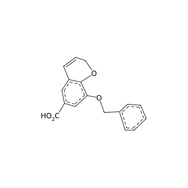 O=C(O)c1cc2c(c(OCc3ccccc3)c1)OCC=C2